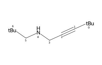 CC(C)(C)C#CCNCC(C)(C)C